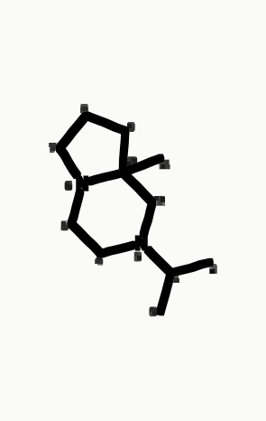 CC(C)N1CCN2CCCC2(C)C1